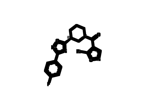 CCc1oncc1C(=O)N1CCC[C@H](c2nc(-c3ccc(F)cc3)no2)C1